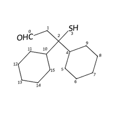 O=CCC(S)(C1CCCCC1)C1CCCCC1